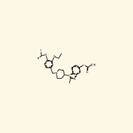 CCOc1cc(CN2CCC(n3c(C)nc4cc(OC(=O)O)ccc43)CC2)ccc1OC(F)F